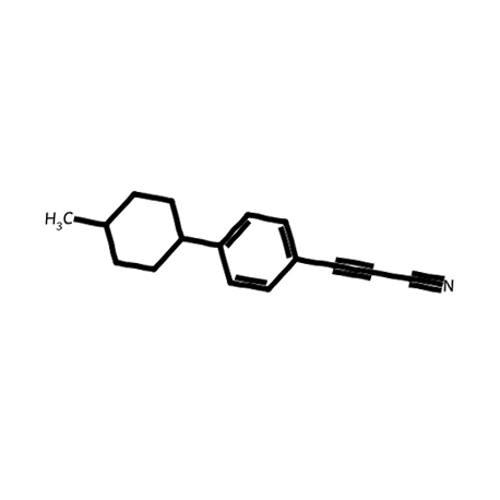 CC1CCC(c2ccc(C#CC#N)cc2)CC1